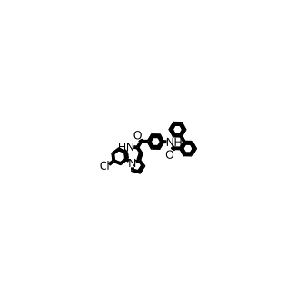 O=C(Nc1ccc(C(=O)C2C=C3C=CCN3C3=C(CCC(Cl)C3)N2)cc1)c1ccccc1-c1ccccc1